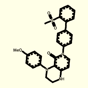 COc1ccc(N2CCNc3ccn(-c4ccc(-c5ccccc5S(C)(=O)=O)cc4)c(=O)c32)cc1